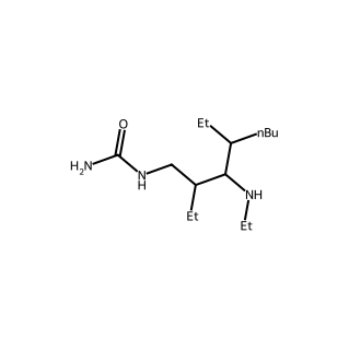 CCCCC(CC)C(NCC)C(CC)CNC(N)=O